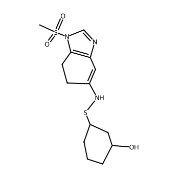 CS(=O)(=O)n1cnc2c1CCC(NSC1CCCC(O)C1)=C2